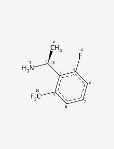 C[C@H](N)c1c(F)cccc1C(F)(F)F